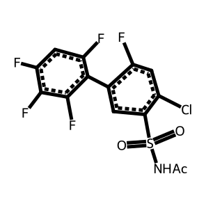 CC(=O)NS(=O)(=O)c1cc(-c2c(F)cc(F)c(F)c2F)c(F)cc1Cl